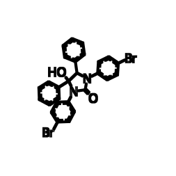 O=C1N(c2ccc(Br)cc2)C(c2ccccc2)C(O)(c2ccccc2)N1c1ccc(Br)cc1